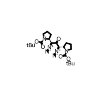 CC(C)(C)OC(=O)N1CCC[C@H]1C(=[N+]=[N-])C(=O)C(=[N+]=[N-])[C@@H]1CCCN1C(=O)OC(C)(C)C